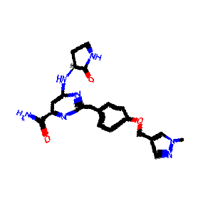 Cn1cc(COc2ccc(-c3nc(N[C@H]4CCNC4=O)cc(C(N)=O)n3)cc2)cn1